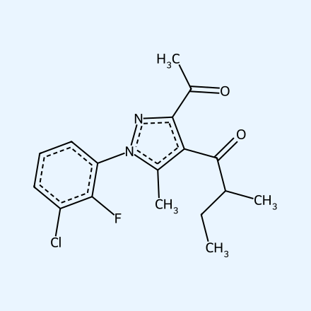 CCC(C)C(=O)c1c(C(C)=O)nn(-c2cccc(Cl)c2F)c1C